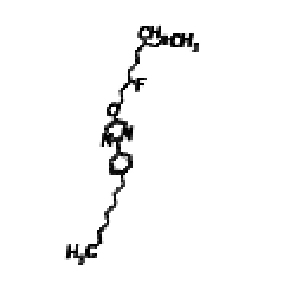 CCCCCCCCc1ccc(-c2ncc(OCCC(F)CCCC(C)CCC)cn2)cc1